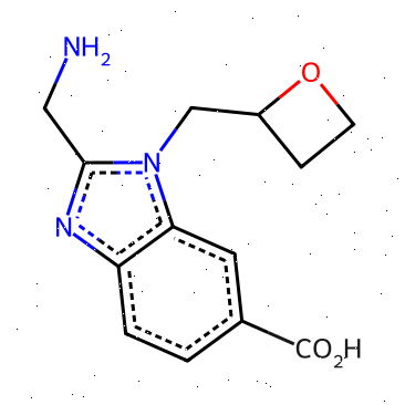 NCc1nc2ccc(C(=O)O)cc2n1CC1CCO1